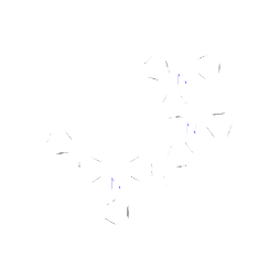 c1ccc(N(c2ccc3c(c2)Cc2ccccc2-3)c2ccc3c(c2)sc2ccc(N(c4ccccc4)c4ccc5c6ccccc6n(-c6ccccc6)c5c4)cc23)cc1